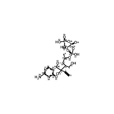 C#CC1(Cl)C(CO)[C@@H]([C@@H](C)OP(=O)(O)OP(=O)(O)OP(=O)(O)O)O[C@H]1n1cnc(N)nc1=O